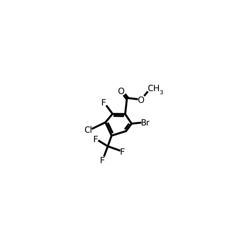 COC(=O)c1c(Br)cc(C(F)(F)F)c(Cl)c1F